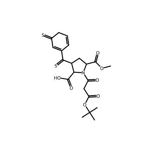 COC(=O)C1CC(C(=S)C2=CC(=S)CC=C2)C(C(=O)O)N1C(=O)CC(=O)OC(C)(C)C